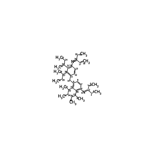 C=CC(CC)=Nc1ccc(Cc2ccc(N=C(C=C)CC)c(C(C)CC)c2C(C)CC)c(C(C)CC)c1C(C)CC